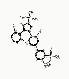 CC(C)(O)c1cn(-c2ccc(-c3ccc(C(=O)O)c(S(C)(=O)=O)c3)cc2Cl)c(-c2c(F)cccc2Cl)n1